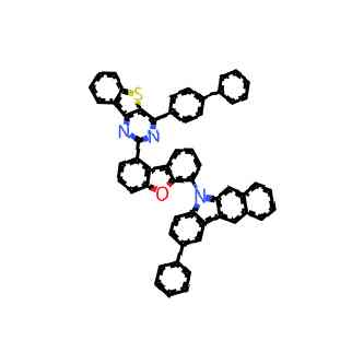 c1ccc(-c2ccc(-c3nc(-c4cccc5oc6c(-n7c8ccc(-c9ccccc9)cc8c8cc9ccccc9cc87)cccc6c45)nc4c3sc3ccccc34)cc2)cc1